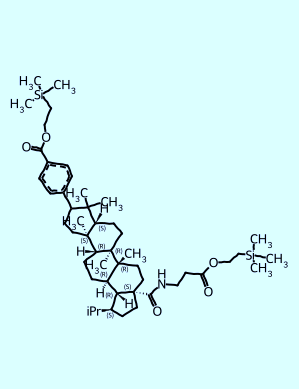 CC(C)[C@@H]1CC[C@]2(C(=O)NCCC(=O)OCC[Si](C)(C)C)CC[C@]3(C)[C@H](CC[C@@H]4[C@@]5(C)CCC(c6ccc(C(=O)OCC[Si](C)(C)C)cc6)C(C)(C)[C@@H]5CC[C@]43C)[C@@H]12